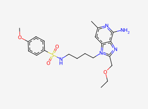 CCOCc1nc2c(N)nc(C)cc2n1CCCCNS(=O)(=O)c1ccc(OC)cc1